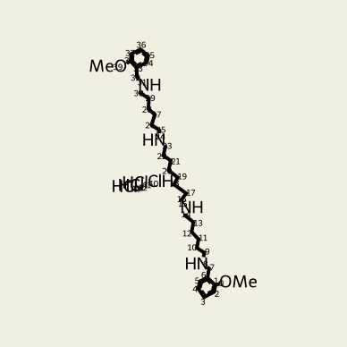 COc1ccccc1CNCCCCCCNCCCCCCCCNCCCCCCNCc1ccccc1OC.Cl.Cl.Cl.Cl